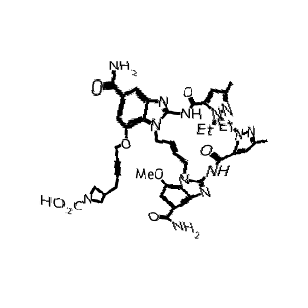 CCn1nc(C)cc1C(=O)Nc1nc2cc(C(N)=O)cc(OC)c2n1CC=CCn1c(NC(=O)c2cc(C)nn2CC)nc2cc(C(N)=O)cc(OCC#CCC3CN(C(=O)O)C3)c21